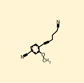 COc1cc(C#N)ccc1C#CCCCC#N